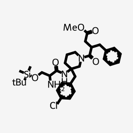 COC(=O)CC(Cc1ccccc1)C(=O)N1CCCC(Cc2ccc(Cl)cc2)(NC(=O)C(N)CO[Si](C)(C)C(C)(C)C)C1